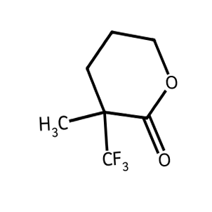 CC1(C(F)(F)F)CCCOC1=O